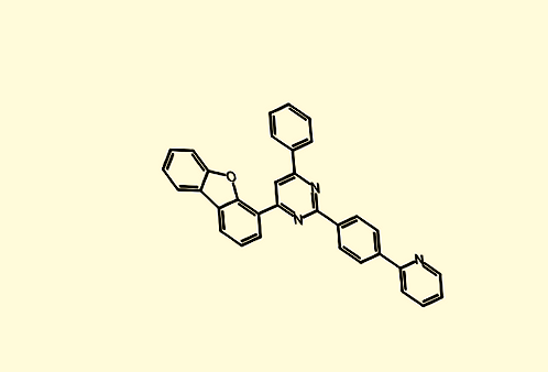 c1ccc(-c2cc(-c3cccc4c3oc3ccccc34)nc(-c3ccc(-c4ccccn4)cc3)n2)cc1